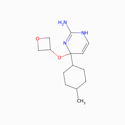 CC1CCC(C2(OC3COC3)C=CNC(N)=N2)CC1